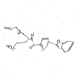 COCOCC(CCC(=O)O)NC(=O)c1ccc(-c2cc3ccccc3o2)cc1